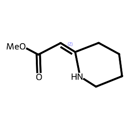 COC(=O)/C=C1/CCCCN1